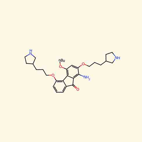 CCCCOc1cc(OCCCC2CCNC2)c(N)c2c1-c1c(OCCCC3CCNC3)cccc1C2=O